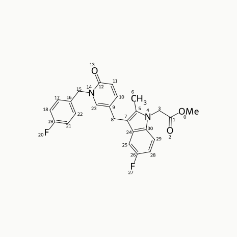 COC(=O)Cn1c(C)c(Cc2ccc(=O)n(Cc3ccc(F)cc3)c2)c2cc(F)ccc21